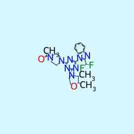 CC(=O)N1CCN(c2nc(N3CCO[C@H](C)[C@H]3C)nc(-n3c(C(F)F)nc4ccccc43)n2)CC1